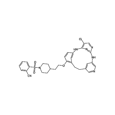 N#Cc1ccccc1S(=O)(=O)N1CCC(CCOc2ccc3cc2CCc2cncc(c2)Nc2ncc(Cl)c(n2)N3)CC1